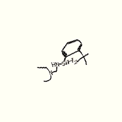 CCN(CC)CN[SiH2]c1ccccc1C(C)(C)C